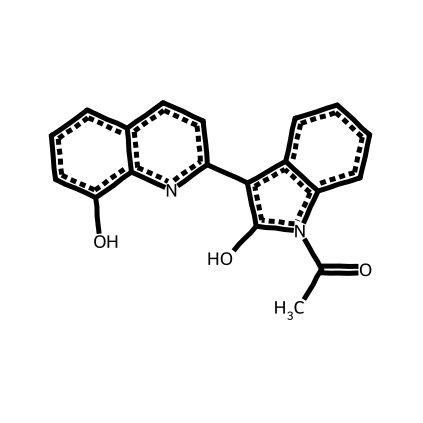 CC(=O)n1c(O)c(-c2ccc3cccc(O)c3n2)c2ccccc21